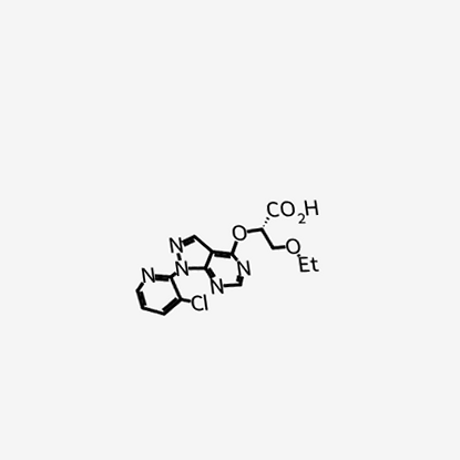 CCOC[C@H](Oc1ncnc2c1cnn2-c1ncccc1Cl)C(=O)O